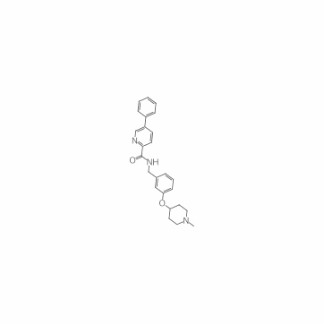 CN1CCC(Oc2cccc(CNC(=O)c3ccc(-c4ccccc4)cn3)c2)CC1